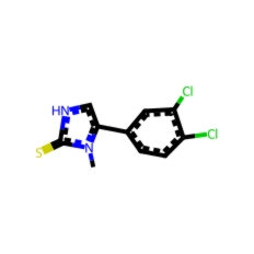 Cn1c(-c2ccc(Cl)c(Cl)c2)c[nH]c1=S